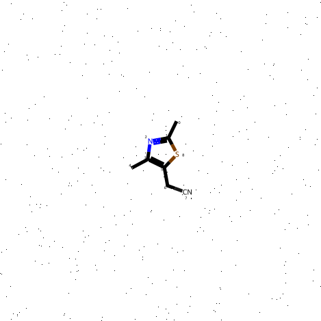 Cc1nc(C)c(CC#N)s1